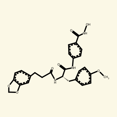 COc1ccc(C[C@H](NC(=O)CCc2ccc3c(c2)OCO3)C(=O)Nc2ccc(C(=O)NO)cc2)cc1